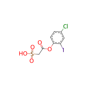 O=C(CS(=O)(=O)O)Oc1ccc(Cl)cc1I